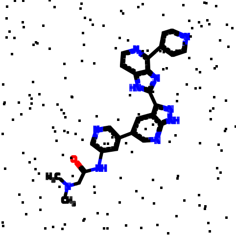 CN(C)CC(=O)Nc1cncc(-c2cnc3[nH]nc(-c4nc5c(-c6ccncc6)nccc5[nH]4)c3c2)c1